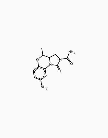 CC1Oc2ccc(N)cc2N2C(=S)N(C(N)=O)CC12